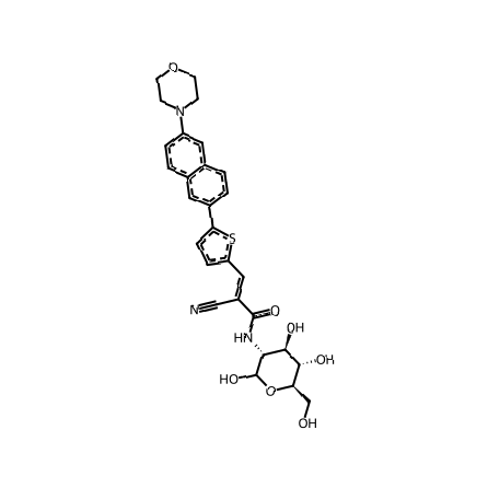 N#C/C(=C\c1ccc(-c2ccc3cc(N4CCOCC4)ccc3c2)s1)C(=O)N[C@H]1C(O)O[C@H](CO)[C@@H](O)[C@@H]1O